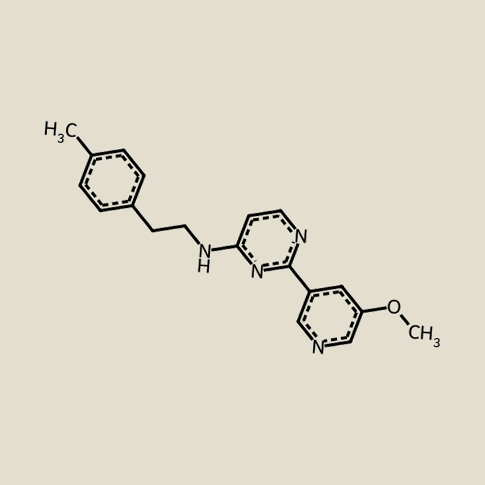 COc1cncc(-c2nccc(NCCc3ccc(C)cc3)n2)c1